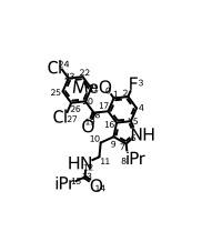 COc1c(F)cc2[nH]c(C(C)C)c(CCNC(=O)C(C)C)c2c1C(=O)c1ccc(Cl)cc1Cl